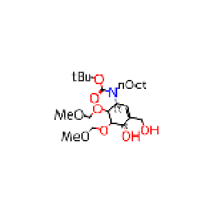 CCCCCCCCN(C(=O)OC(C)(C)C)[C@@H]1C=C(CO)[C@H](O)C(OCOC)C1OCOC